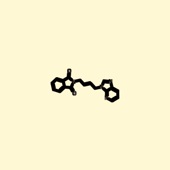 O=C1c2ccccc2C(=O)N1CC=CCn1cnc2cccnc21